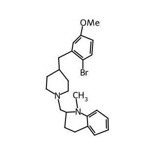 COc1ccc(Br)c(CC2CCN(CC3CCc4ccccc4N3C)CC2)c1